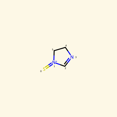 S=[N+]1C=NCC1